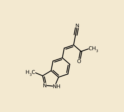 CC(=O)C(C#N)=Cc1ccc2[nH]nc(C)c2c1